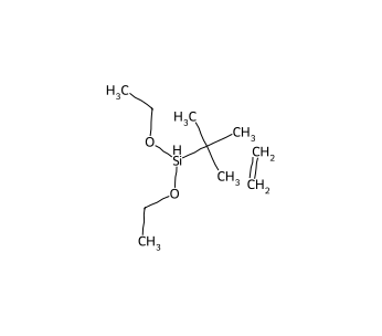 C=C.CCO[SiH](OCC)C(C)(C)C